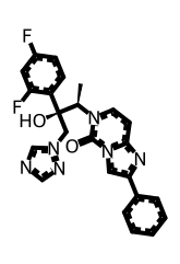 C[C@@H](n1ccc2nc(-c3ccccc3)cn2c1=O)[C@](O)(Cn1cncn1)c1ccc(F)cc1F